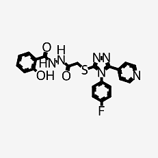 O=C(CSc1nnc(-c2ccncc2)n1-c1ccc(F)cc1)NNC(=O)c1ccccc1O